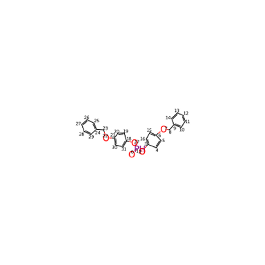 O=[PH](Oc1ccc(OCc2ccccc2)cc1)Oc1ccc(OCc2ccccc2)cc1